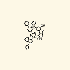 Oc1cc(O)c2oc3ccc(O)c(-c4nc(C5=CC(c6ccccc6)C(c6ccccc6)C=C5)nc(-c5ccc(-c6ccccc6)c6ccccc56)n4)c3c2c1